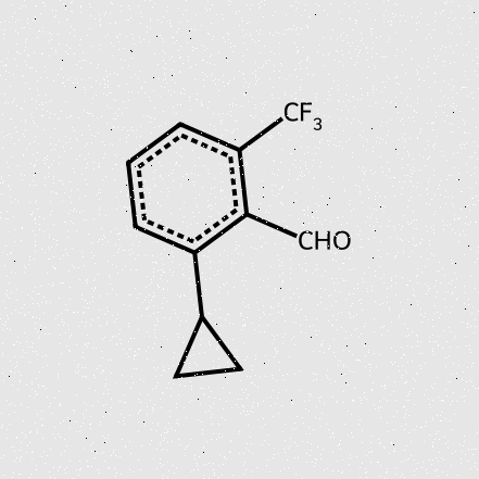 O=Cc1c(C2CC2)cccc1C(F)(F)F